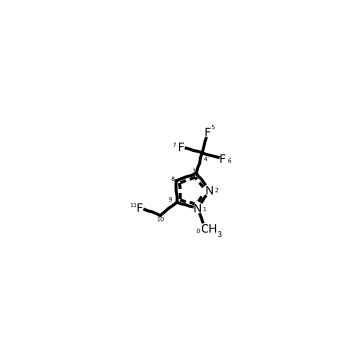 Cn1nc(C(F)(F)F)cc1CF